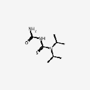 CC(C)N(C(=S)NC(N)=O)C(C)C